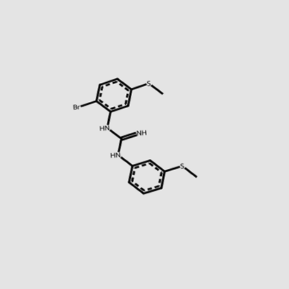 CSc1cccc(NC(=N)Nc2cc(SC)ccc2Br)c1